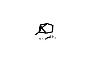 CC1=CC2CCC1C2.CO[SiH3]